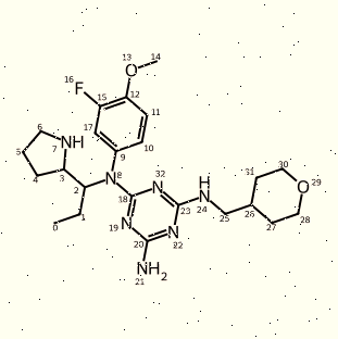 CCC(C1CCCN1)N(c1ccc(OC)c(F)c1)c1nc(N)nc(NCC2CCOCC2)n1